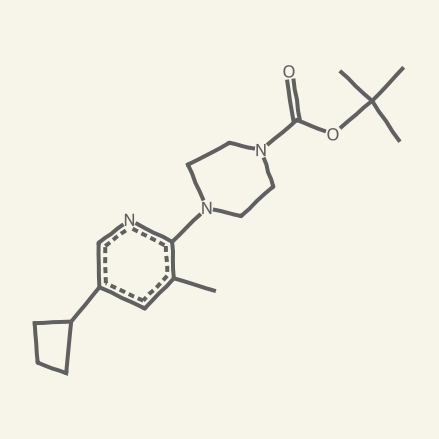 Cc1cc(C2CCC2)cnc1N1CCN(C(=O)OC(C)(C)C)CC1